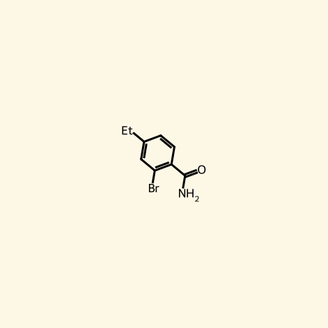 CCc1ccc(C(N)=O)c(Br)c1